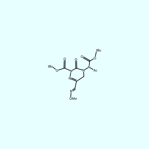 CO/N=C/C1=NN(C(=O)OC(C)(C)C)C(=O)N(N(C(C)=O)C(=O)OC(C)(C)C)C1